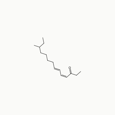 CCC(=O)/C=C\C=C\CCCCC(C)CC